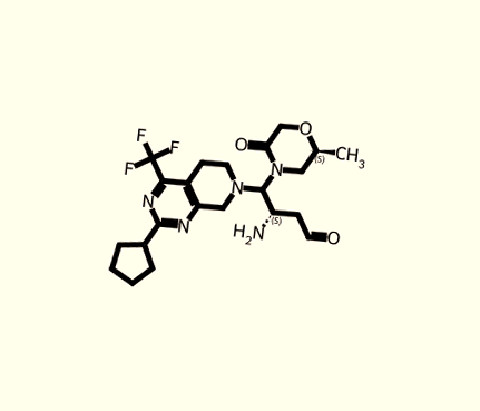 C[C@H]1CN(C([C@@H](N)CC=O)N2CCc3c(nc(C4CCCC4)nc3C(F)(F)F)C2)C(=O)CO1